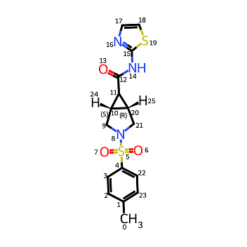 Cc1ccc(S(=O)(=O)N2C[C@@H]3C(C(=O)Nc4nccs4)[C@@H]3C2)cc1